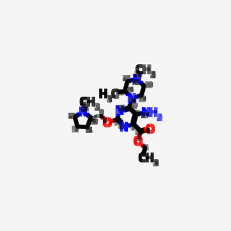 CCOC(=O)c1nc(OC[C@@H]2CCCN2C)nc(N2CCN(C)CC2C)c1N